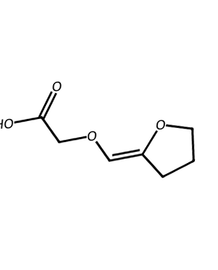 O=C(O)COC=C1CCCO1